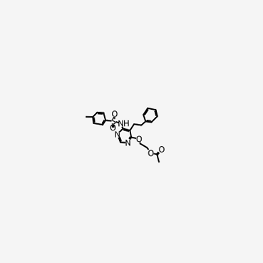 CC(=O)OCCOc1ncnc(NS(=O)(=O)c2ccc(C)cc2)c1CCc1ccccc1